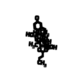 [2H]C([2H])(O)C(=O)[C@@]12OC(CCC)O[C@@H]1C[C@H]1[C@@H]3CCC4=CC(=O)C=C[C@]4(C)[C@H]3[C@@H](O)C[C@@]12C